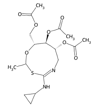 CC(=O)OC[C@H]1OC(C)S/C(NC2CC2)=N\C[C@@H](OC(C)=O)[C@@H]1OC(C)=O